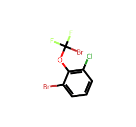 FC(F)(Br)Oc1c(Cl)cccc1Br